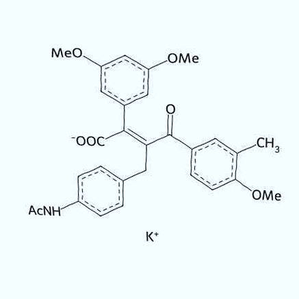 COc1cc(OC)cc(/C(C(=O)[O-])=C(/Cc2ccc(NC(C)=O)cc2)C(=O)c2ccc(OC)c(C)c2)c1.[K+]